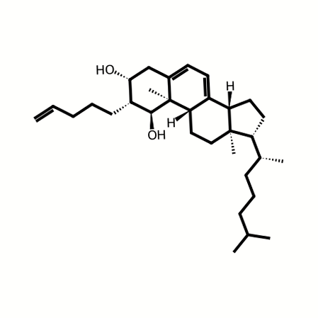 C=CCCC[C@@H]1[C@H](O)CC2=CC=C3[C@@H]4CC[C@H]([C@H](C)CCCC(C)C)[C@@]4(C)CC[C@@H]3[C@@]2(C)[C@H]1O